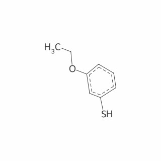 CCOc1cccc(S)c1